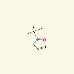 CC(C)(C)[n+]1ccco1